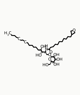 CCCCCCCCCCCCCC[C@@H](O)[C@@H](O)[C@H](CO[C@H]1O[C@H](CO)[C@H](O)[C@H](O)[C@H]1O)NC(=O)CCCCCCCCCCC1COC1